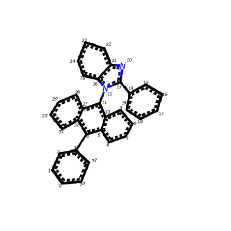 c1ccc(-c2c3ccccc3c(-n3c(-c4ccccc4)nc4ccccc43)c3ccccc23)cc1